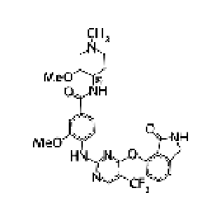 COc1cc(C(=O)N[C@@H]2CCN(C)CC2OC)ccc1Nc1ncc(C(F)(F)F)c(Oc2cccc3c2C(=O)NC3)n1